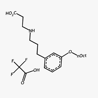 CCCCCCCCOc1cccc(CCCNCCC(=O)O)c1.O=C(O)C(F)(F)F